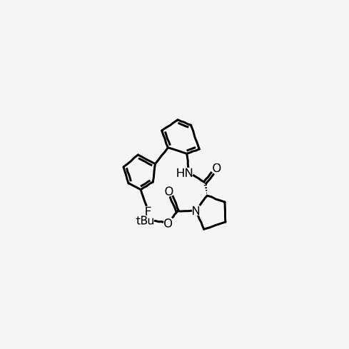 CC(C)(C)OC(=O)N1CCC[C@H]1C(=O)Nc1ccccc1-c1cccc(F)c1